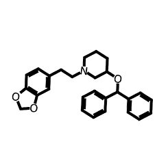 c1ccc(C(OC2CCCN(CCc3ccc4c(c3)OCO4)C2)c2ccccc2)cc1